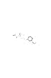 C=C(C)C(=O)NCCNc1c(OC)cc(C(C)=O)c(N)c1OC